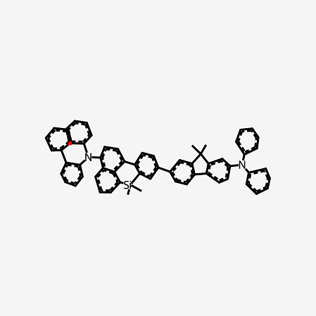 CC1(C)c2cc(-c3ccc4c(c3)[Si](C)(C)c3cccc5c(N(c6ccccc6)c6ccccc6-c6ccccc6)ccc-4c35)ccc2-c2ccc(N(c3ccccc3)c3ccccc3)cc21